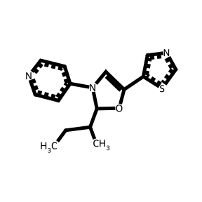 CCC(C)C1OC(c2cncs2)=[C]N1c1ccncc1